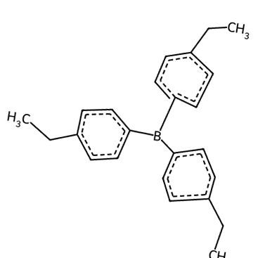 CCc1ccc(B(c2ccc(CC)cc2)c2ccc(CC)cc2)cc1